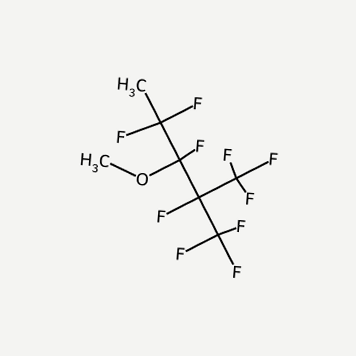 COC(F)(C(C)(F)F)C(F)(C(F)(F)F)C(F)(F)F